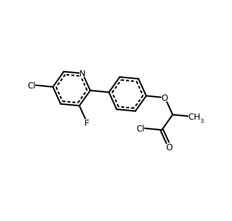 CC(Oc1ccc(-c2ncc(Cl)cc2F)cc1)C(=O)Cl